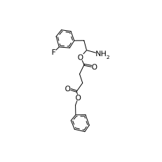 NC(Cc1cccc(F)c1)OC(=O)CCC(=O)OCc1ccccc1